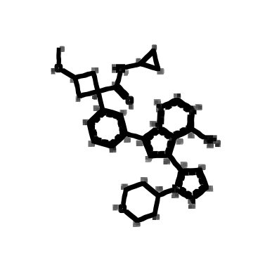 COC1CC(C(=O)NC2CC2)(c2cccc(-c3cc(-c4ccnn4C4CCOCC4)c4c(N)ncnn34)c2)C1